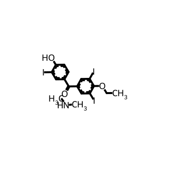 CCOc1c(I)cc(C(=O)c2ccc(O)c(I)c2)cc1I.CNC